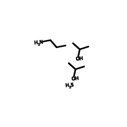 CC(C)O.CC(C)O.CCCN.S